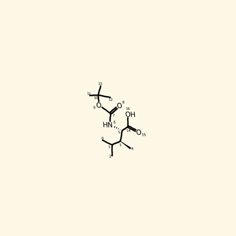 CC(C)[C@H](C)[C@H](NC(=O)OC(C)(C)C)C(=O)O